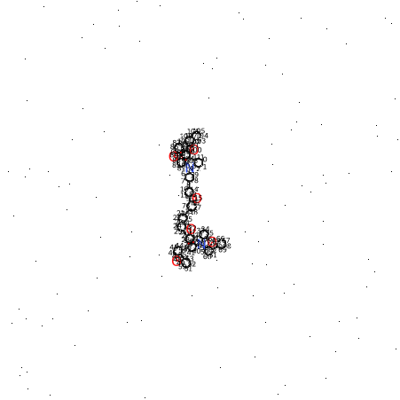 c1ccc(N(c2ccc(-c3ccc4c(c3)oc3ccc(-c5ccc6ccc7c8cccc(-c9ccccc9N(c9ccc(-c%10cccc%11oc%12ccccc%12c%10%11)cc9)c9cccc%10c9oc9ccccc9%10)c8oc7c6c5)cc34)cc2)c2ccc3oc4ccccc4c3c2)c(-c2cccc3c2oc2c4ccccc4ccc32)c1